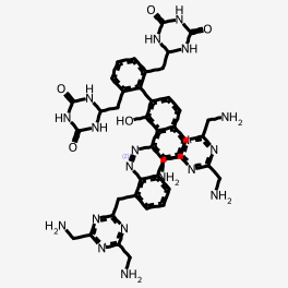 NCc1nc(CN)nc(Cc2cccc(Cc3nc(CN)nc(CN)n3)c2/N=N\c2c(N)ccc3ccc(-c4c(CC5NC(=O)NC(=O)N5)cccc4CC4NC(=O)NC(=O)N4)c(O)c23)n1